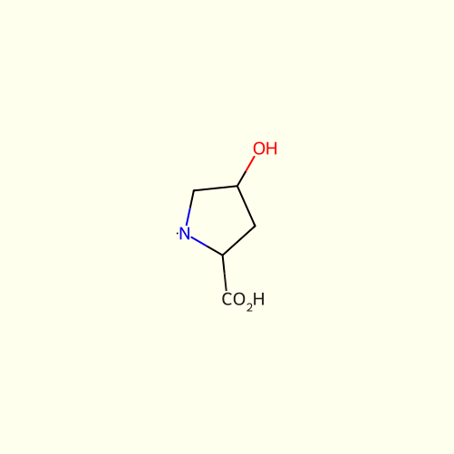 O=C(O)C1CC(O)C[N]1